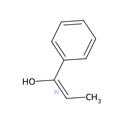 C/C=C(/O)c1ccccc1